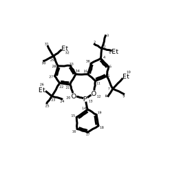 CCC(C)(C)c1cc(C(C)(C)CC)c2op(-c3ccccc3)oc3c(C(C)(C)CC)cc(C(C)(C)CC)cc3c2c1